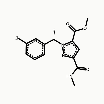 CNC(=O)c1cc(C(=O)OC)n([C@@H](C)c2cccc(Cl)c2)n1